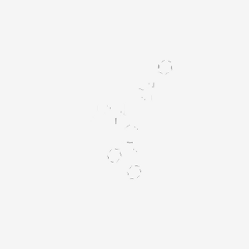 CC[C@H](N)C(=O)N[C@@H]1C(=O)N2C(CC[C@H]2C(=O)NC(c2ccccc2)c2ccccc2)C[C@@H]1CNC(=O)NCc1ccccc1